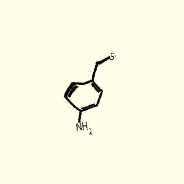 Nc1ccc(C[S])cc1